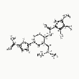 Cc1[nH]c(C(=O)N[C@@H]2CCN(c3ncc(C(=O)O)s3)C[C@@H]2CN(C)C)c(Cl)c1Cl